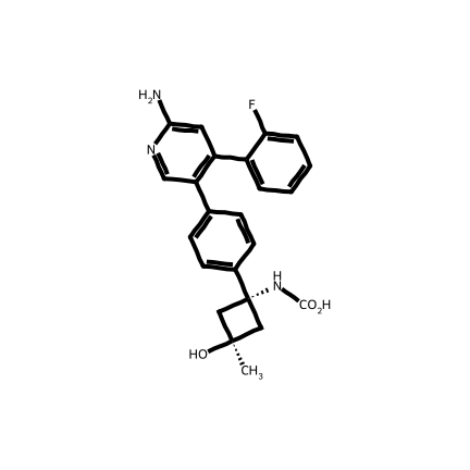 C[C@]1(O)C[C@@](NC(=O)O)(c2ccc(-c3cnc(N)cc3-c3ccccc3F)cc2)C1